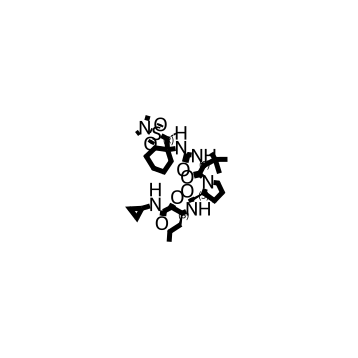 CCC[C@H](NC(=O)[C@@H]1CCCN1C(=O)[C@@H](NC(=O)NC1([C@@H](C)S(=O)(=O)N(C)C)CCCCC1)C(C)(C)C)C(=O)C(=O)NC1CC1